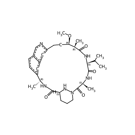 CO[C@@H]1CCc2cc3cc(ccc3cn2)[C@@H](C)NC(=O)[C@@H]2CCCN(N2)C(=O)[C@H](C)NC(=O)[C@H](C(C)C)NC(=O)[C@@H]1C